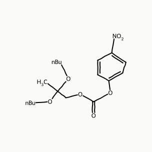 CCCCOC(C)(COC(=O)Oc1ccc([N+](=O)[O-])cc1)OCCCC